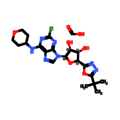 CC(C)(C)c1nnc([C@H]2O[C@@H](n3cnc4c(NC5CCOCC5)nc(Cl)nc43)[C@H](O)[C@@H]2O)o1.O=CO